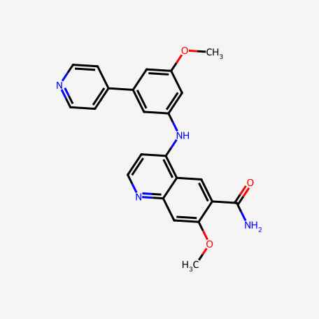 COc1cc(Nc2ccnc3cc(OC)c(C(N)=O)cc23)cc(-c2ccncc2)c1